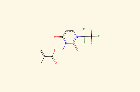 C=C(C)C(=O)OCn1c(=O)ccn(C(F)(F)C(F)(F)F)c1=O